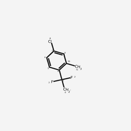 [CH2]C(F)(F)c1ccc(Cl)cc1C